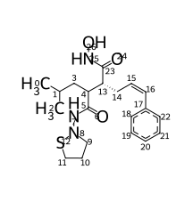 CC(C)CC(C(=O)NN1CCCS1)[C@@H](C/C=C\c1ccccc1)C(=O)NO